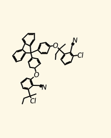 CCC(C)(Cl)c1cccc(OC2C=CC(C3(c4ccc(OC(C)(CC)c5cccc(Cl)c5C#N)cc4)c4ccccc4-c4ccccc43)=CC2)c1C#N